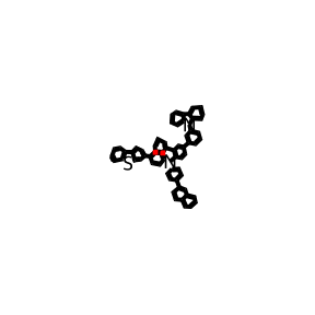 c1ccc2c(c#1)sc1cc(-c3ccc(N(c4ccc(-c5ccc6ccccc6c5)cc4)c4ccc(-c5cccc(-n6c7ccccc7c7ccccc76)c5)cc4-c4ccccc4)cc3)ccc12